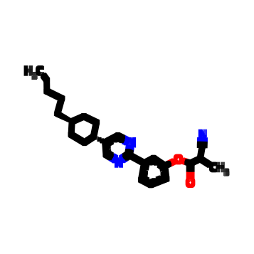 CCCCC[C@H]1CC[C@H](c2cnc(-c3cccc(OC(=O)C(C)C#N)c3)nc2)CC1